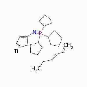 C1=CCC(N=P(C2CCCC2)(C2CCCC2)C2CCCC2)=C1.C=CC=CCC.[Ti]